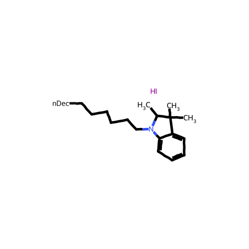 CCCCCCCCCCCCCCCCN1c2ccccc2C(C)(C)C1C.I